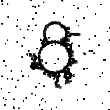 CSCC[C@@H]1NC(=O)/C=N/OCCCCCCOc2cc3cc(c2)CSC[C@H](NC1=O)C(=O)N1CCC[C@H]1C(=O)N[C@@H](CC(C)C)C(=O)N[C@@H](Cc1ccc(O)cc1)C(=O)N[C@@H](CCCCN)C(=O)NC(C(C)C)C(=O)N[C@@H](Cc1cnc[nH]1)C(=O)N[C@H](C(N)=O)CSC3